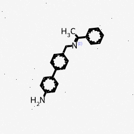 C/C(=N\Cc1ccc(-c2ccc(N)cc2)cc1)c1ccccc1